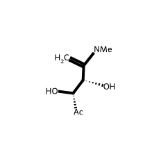 C=C(NC)[C@H](O)[C@@H](O)C(C)=O